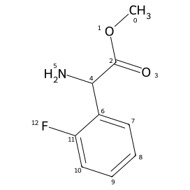 COC(=O)C(N)c1ccccc1F